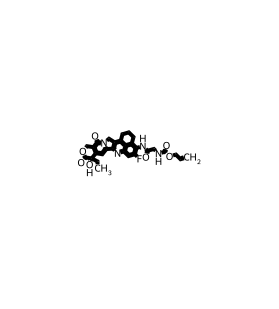 C=CCOC(=O)NCC(=O)Nc1c(F)cc2nc3c(c4c2c1CCC4)Cn1c-3cc2c(c1=O)COC(=O)[C@]2(O)CC